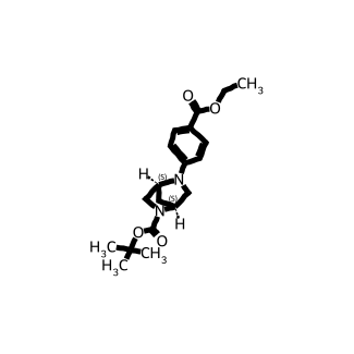 CCOC(=O)c1ccc(N2C[C@@H]3C[C@H]2CN3C(=O)OC(C)(C)C)cc1